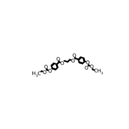 CCOC(=O)Oc1ccc(C(=O)OCCCOC(=O)c2ccc(OC(=O)OCC)cc2)cc1